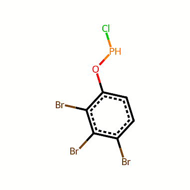 ClPOc1ccc(Br)c(Br)c1Br